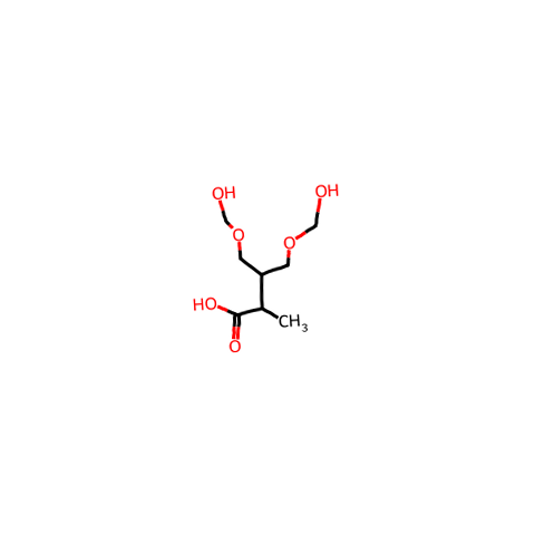 CC(C(=O)O)C(COCO)COCO